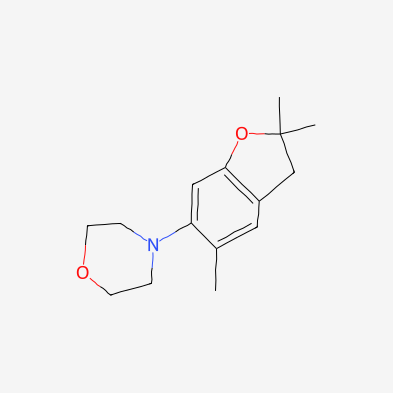 Cc1cc2c(cc1N1CCOCC1)OC(C)(C)C2